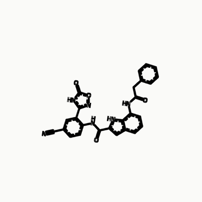 N#Cc1ccc(NC(=O)c2cc3cccc(NC(=O)Cc4ccccc4)c3[nH]2)c(-c2noc(=O)[nH]2)c1